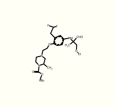 CCCCOC(=O)N1CCN(CCOc2ccc(NC(C)(C=O)COCC)cc2CC(F)F)CC1C